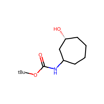 CC(C)(C)OC(=O)NC1CCCC[C@@H](O)C1